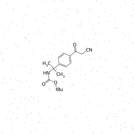 CC(C)(C)OC(=O)NC(C)(C)c1ccc(C(=O)CC#N)cc1